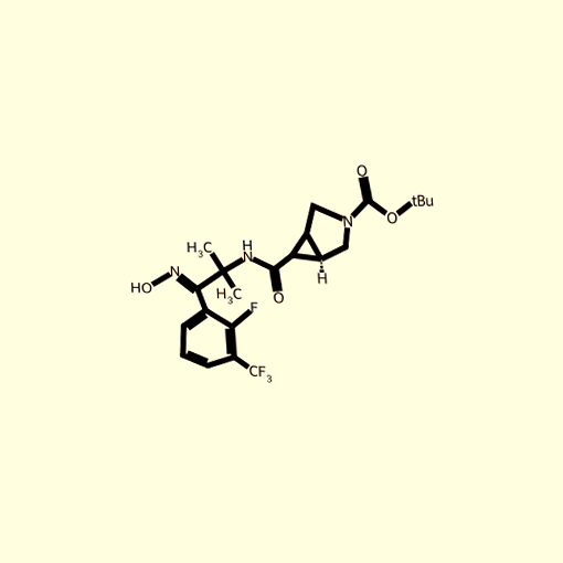 CC(C)(C)OC(=O)N1CC2C(C(=O)NC(C)(C)/C(=N/O)c3cccc(C(F)(F)F)c3F)[C@@H]2C1